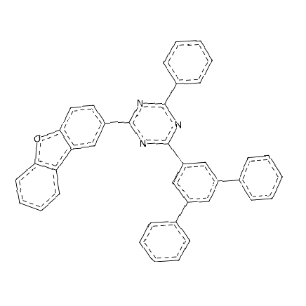 c1ccc(-c2cc(-c3ccccc3)cc(-c3nc(-c4ccccc4)nc(-c4ccc5oc6ccccc6c5c4)n3)c2)cc1